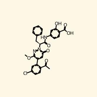 COc1nn([C@@H](Cc2ccccc2)C(=O)Nc2ccc(C(=O)O)c(O)c2)c(=O)cc1-c1cc(Cl)ccc1C(C)=O